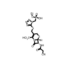 CCOP(=O)(O)Cn1nnnc1SCC1=C(C(=O)O)N2C(=O)[C@@H](NC(=O)CC#N)[C@H]2SC1